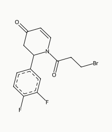 O=C1C=CN(C(=O)CCBr)C(c2ccc(F)c(F)c2)C1